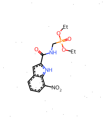 CCOP(=O)(CNC(=O)c1cc2cccc([N+](=O)[O-])c2[nH]1)OCC